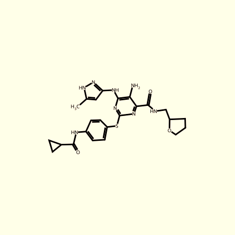 Cc1cc(Nc2nc(Sc3ccc(NC(=O)C4CC4)cc3)nc(C(=O)NCC3CCCO3)c2N)n[nH]1